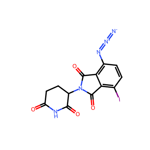 [N-]=[N+]=Nc1ccc(I)c2c1C(=O)N(C1CCC(=O)NC1=O)C2=O